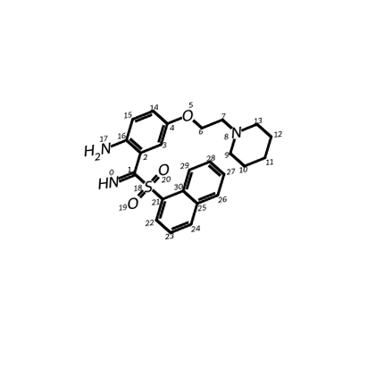 N=C(c1cc(OCCN2CCCCC2)ccc1N)S(=O)(=O)c1cccc2ccccc12